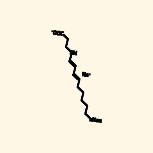 CCCCCCCCCCCCCCC=CC=CNCCC(=O)[O-].[Na+]